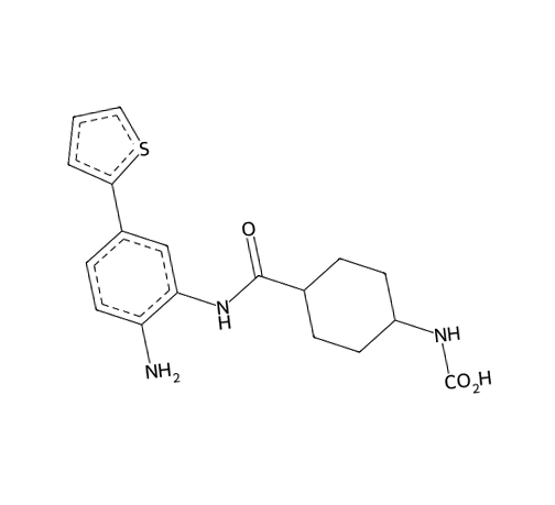 Nc1ccc(-c2cccs2)cc1NC(=O)C1CCC(NC(=O)O)CC1